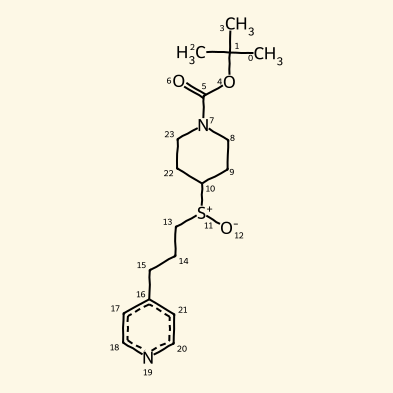 CC(C)(C)OC(=O)N1CCC([S+]([O-])CCCc2ccncc2)CC1